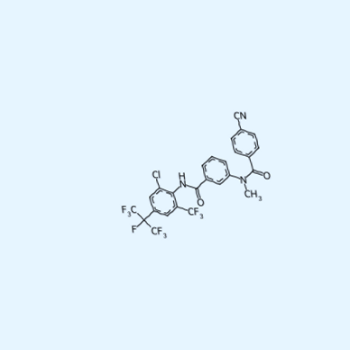 CN(C(=O)c1ccc(C#N)cc1)c1cccc(C(=O)Nc2c(Cl)cc(C(F)(C(F)(F)F)C(F)(F)F)cc2C(F)(F)F)c1